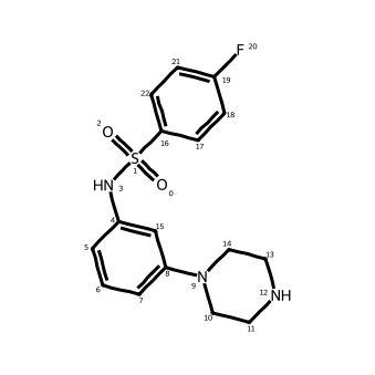 O=S(=O)(Nc1cccc(N2CCNCC2)c1)c1ccc(F)cc1